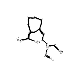 CC(N)C1CCCCC1C[CH2][SnH]([CH]=O)[CH2]S